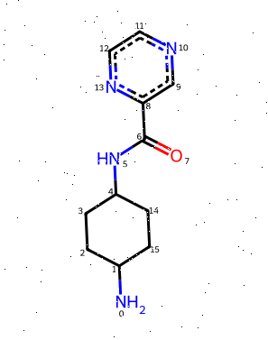 NC1CCC(NC(=O)c2cnccn2)CC1